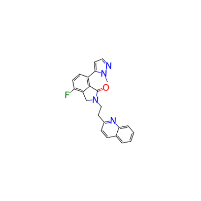 Cn1nccc1-c1ccc(F)c2c1C(=O)N(CCc1ccc3ccccc3n1)C2